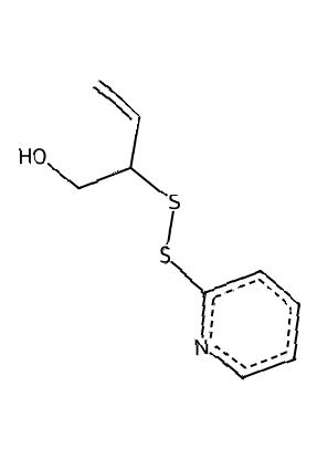 C=CC(CO)SSc1ccccn1